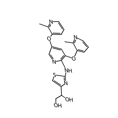 Cc1ncccc1Oc1cnc(Nc2nc(C(O)CO)cs2)c(Oc2cccnc2C)c1